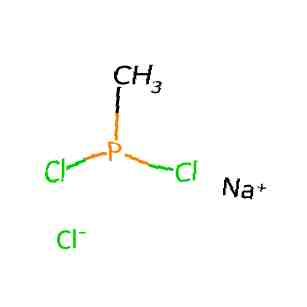 CP(Cl)Cl.[Cl-].[Na+]